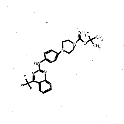 CC(C)(C)OC(=O)N1CCN(c2ccc(Nc3nc(C(F)(F)F)c4ccccc4n3)cc2)CC1